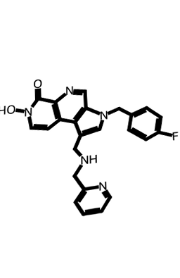 O=c1c2ncc3c(c(CNCc4ccccn4)cn3Cc3ccc(F)cc3)c2ccn1O